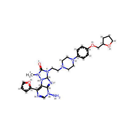 CN1C(=O)N(CCN2CCN(c3ccc(OCC4CCCO4)cc3)CC2)C2N=C3C(=C(c4ccco4)N=CN3N)N21